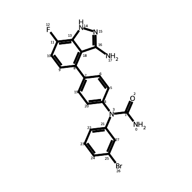 NC(=O)N(c1ccc(-c2ccc(F)c3[nH]nc(N)c23)cc1)c1cccc(Br)c1